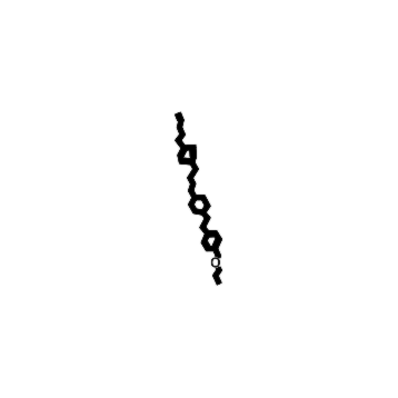 C=CCCCc1ccc(CCCCC2CCC(CCc3ccc(COCCC)cc3)CC2)cc1